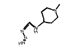 CN1CCC(N/C=N\N=N)CC1